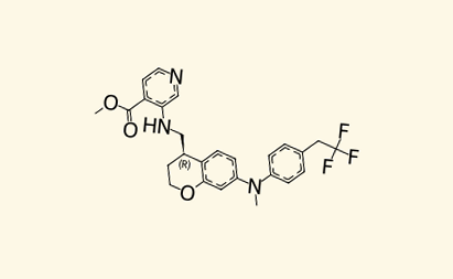 COC(=O)c1ccncc1NC[C@@H]1CCOc2cc(N(C)c3ccc(CC(F)(F)F)cc3)ccc21